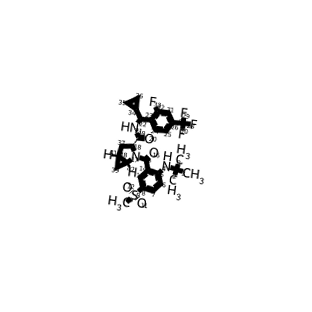 CC(C)(C)Nc1ccc(S(C)(=O)=O)cc1C(=O)N1[C@@H](C(=O)NC(c2ccc(C(F)(F)F)cc2F)C2CC2)C[C@H]2C[C@H]21